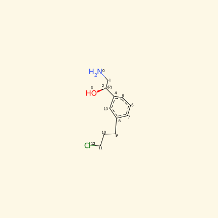 NC[C@H](O)c1cccc(CCCCl)c1